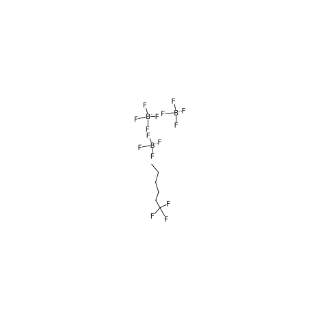 CCCCCC(F)(F)F.F[B-](F)(F)F.F[B-](F)(F)F.F[B-](F)(F)F